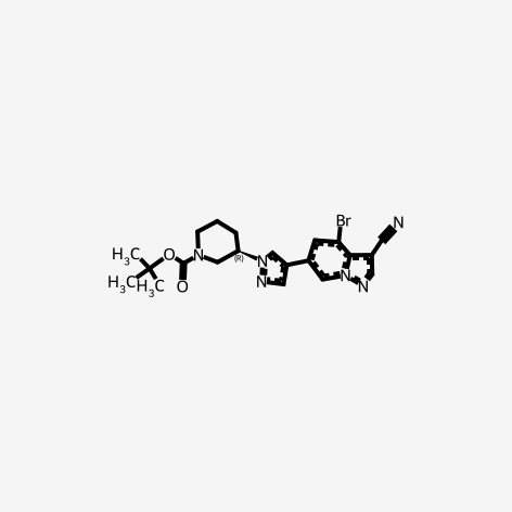 CC(C)(C)OC(=O)N1CCC[C@@H](n2cc(-c3cc(Br)c4c(C#N)cnn4c3)cn2)C1